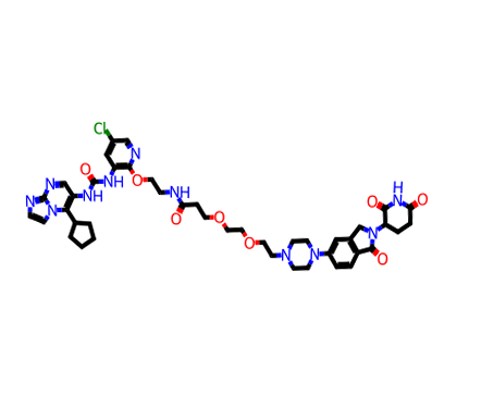 O=C(CCOCCOCCN1CCN(c2ccc3c(c2)CN(C2CCC(=O)NC2=O)C3=O)CC1)NCCOc1ncc(Cl)cc1NC(=O)Nc1cnc2nccn2c1C1CCCC1